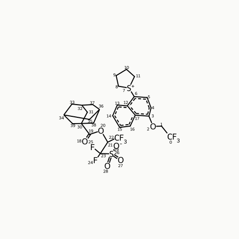 FC(F)(F)COc1ccc([S+]2CCCC2)c2ccccc12.O=C(OC(C(F)(F)F)C(F)(F)S(=O)(=O)[O-])C12CC3CC(CC(C3)C1)C2